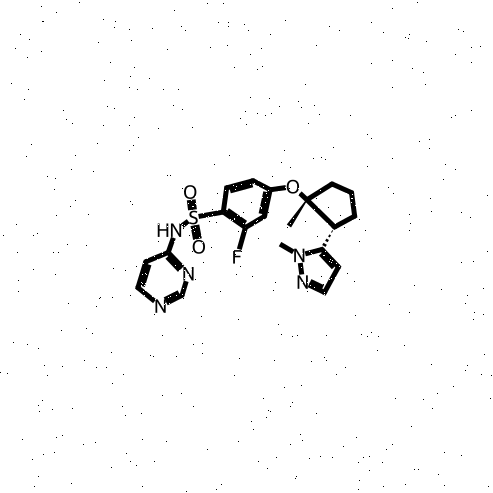 Cn1nccc1[C@H]1CCC[C@@]1(C)Oc1ccc(S(=O)(=O)Nc2ccncn2)c(F)c1